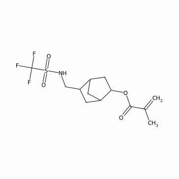 C=C(C)C(=O)OC1CC2CC1CC2CNS(=O)(=O)C(F)(F)F